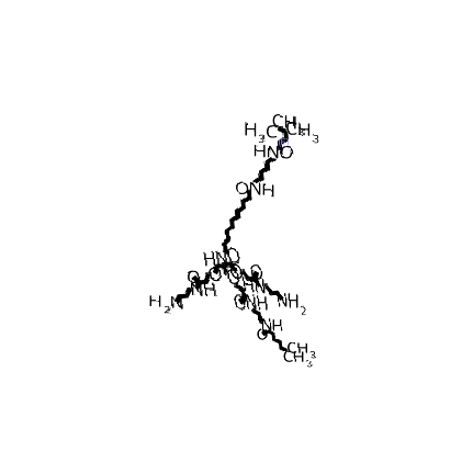 CC(C)CCCCC(=O)NCCCNC(=O)CCOCC(COCCC(=O)NCCCN)(COCCC(=O)NCCCN)NC(=O)CCCCCCCCCCC(=O)NCCCCCCNC(=O)/C=C/C(C)C(C)C